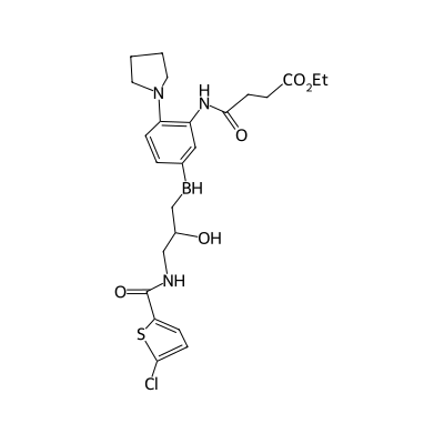 CCOC(=O)CCC(=O)Nc1cc(BCC(O)CNC(=O)c2ccc(Cl)s2)ccc1N1CCCC1